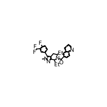 CCC1Cc2c(nn(C)c2-c2ccc(F)c(C(F)F)c2)C(CC)N1C(=O)c1ccc2ncccc2c1